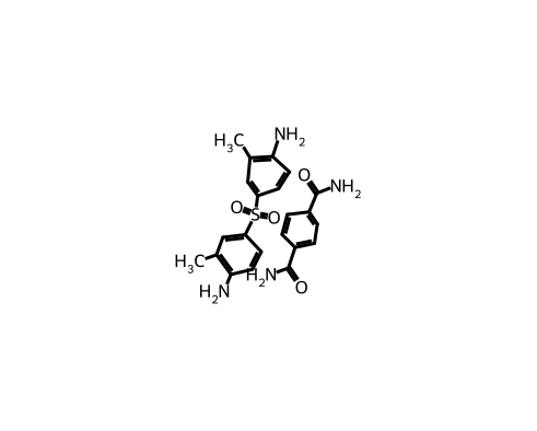 Cc1cc(S(=O)(=O)c2ccc(N)c(C)c2)ccc1N.NC(=O)c1ccc(C(N)=O)cc1